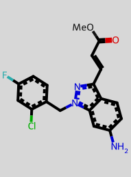 COC(=O)C=Cc1nn(Cc2ccc(F)cc2Cl)c2cc(N)ccc12